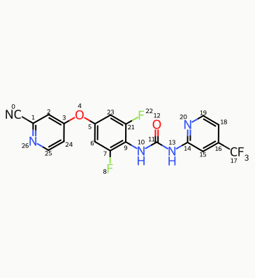 N#Cc1cc(Oc2cc(F)c(NC(=O)Nc3cc(C(F)(F)F)ccn3)c(F)c2)ccn1